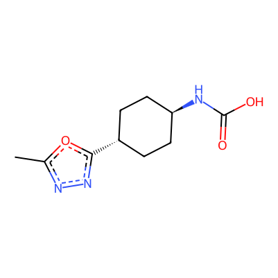 Cc1nnc([C@H]2CC[C@H](NC(=O)O)CC2)o1